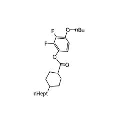 CCCCCCCC1CCC(C(=O)Oc2ccc(OCCCC)c(F)c2F)CC1